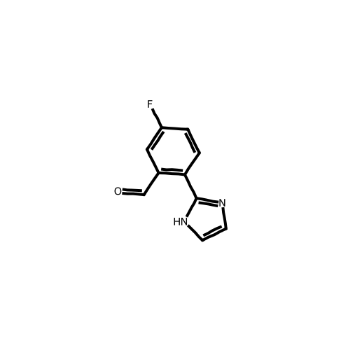 O=Cc1cc(F)ccc1-c1ncc[nH]1